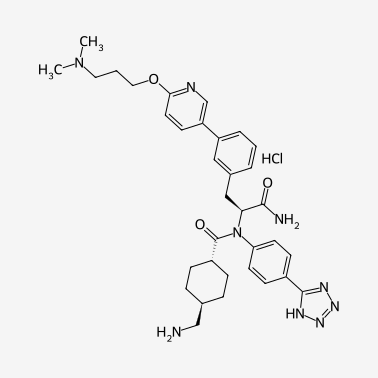 CN(C)CCCOc1ccc(-c2cccc(C[C@@H](C(N)=O)N(c3ccc(-c4nnn[nH]4)cc3)C(=O)[C@H]3CC[C@H](CN)CC3)c2)cn1.Cl